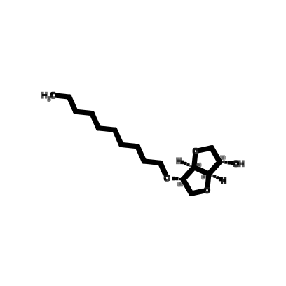 CCCCCCCCCCO[C@H]1CO[C@H]2[C@@H]1OC[C@@H]2O